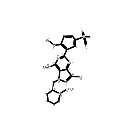 CCCOc1ccc(S(C)(=O)=O)cc1-c1nc(OC)c2c(n1)c(CC)nn2C[C@@H]1CCCCN1S(=O)(=O)O